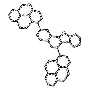 c1cc2ccc3ccc(-c4ccc5cc(-c6ccc7ccc8cccc9ccc6c7c89)c6c7ccccc7oc6c5c4)c4ccc(c1)c2c34